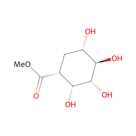 COC(=O)[C@@H]1C[C@H](O)[C@@H](O)[C@H](O)[C@@H]1O